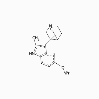 CCCOc1ccc2[nH]c(C)c(C3CN4CCC3CC4)c2c1